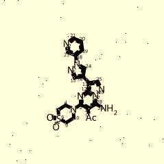 CC(=O)c1c(N2CCS(=O)(=O)CC2)nc2c(-c3cnn(-c4cccnc4)c3)cnn2c1N